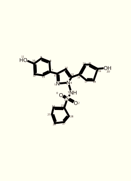 O=S(=O)(Nn1nc(-c2ccc(O)cc2)cc1-c1ccc(O)cc1)c1ccccc1